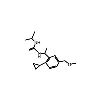 C=C(NC(C)C)NC(C)c1cc(COC)ccc1C1CC1